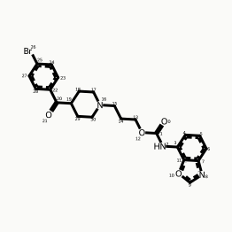 O=C(Nc1cccc2ncoc12)OCCCN1CCC(C(=O)c2ccc(Br)cc2)CC1